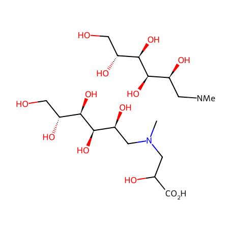 CN(CC(O)C(=O)O)C[C@H](O)[C@@H](O)[C@H](O)[C@H](O)CO.CNC[C@H](O)[C@@H](O)[C@H](O)[C@H](O)CO